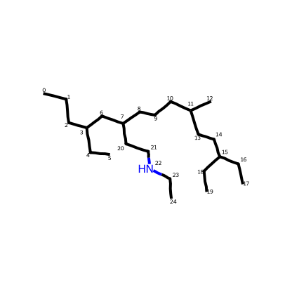 CCCC(CC)CC(CCCC(C)CCC(CC)CC)CCNCC